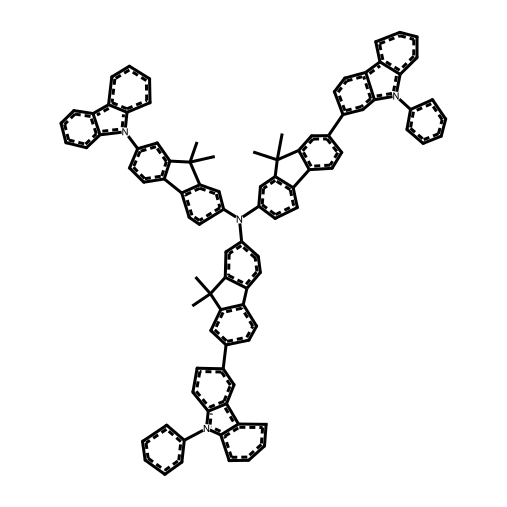 CC1(C)c2cc(-c3ccc4c(c3)c3ccccc3n4-c3ccccc3)ccc2-c2ccc(N(c3ccc4c(c3)C(C)(C)c3cc(-c5ccc6c7ccccc7n(-c7ccccc7)c6c5)ccc3-4)c3ccc4c(c3)C(C)(C)c3cc(-n5c6ccccc6c6ccccc65)ccc3-4)cc21